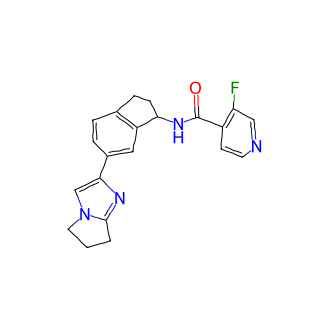 O=C(NC1CCc2ccc(-c3cn4c(n3)CCC4)cc21)c1ccncc1F